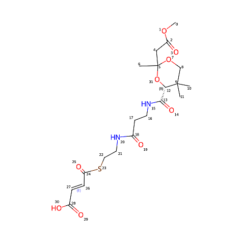 COC(=O)CC1(C)OCC(C)(C)[C@H](C(=O)NCCC(=O)NCCSC(=O)/C=C/C(=O)O)O1